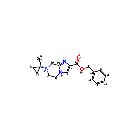 [2H]C1(N2CCn3cc(C(=O)OCc4ccccc4)nc3C2)CC1